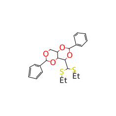 CCSC(SCC)C1OC(c2ccccc2)OC2COC(c3ccccc3)OC21